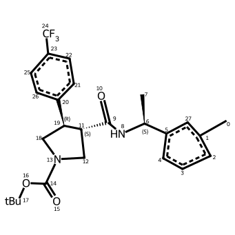 Cc1cccc([C@H](C)NC(=O)[C@@H]2CN(C(=O)OC(C)(C)C)C[C@H]2c2ccc(C(F)(F)F)cc2)c1